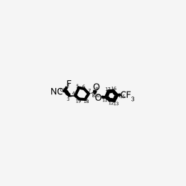 N#CC(F)=C[C@H]1CC[C@H](C(=O)Oc2ccc(C(F)(F)F)cc2)CC1